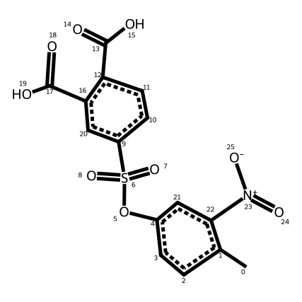 Cc1ccc(OS(=O)(=O)c2ccc(C(=O)O)c(C(=O)O)c2)cc1[N+](=O)[O-]